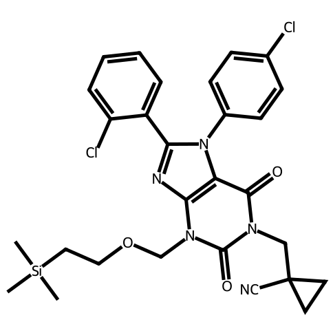 C[Si](C)(C)CCOCn1c(=O)n(CC2(C#N)CC2)c(=O)c2c1nc(-c1ccccc1Cl)n2-c1ccc(Cl)cc1